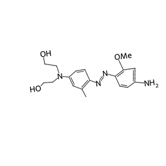 COc1cc(N)ccc1N=Nc1ccc(N(CCO)CCO)cc1C